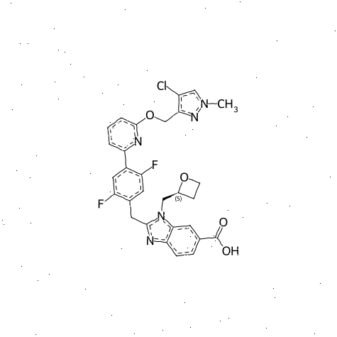 Cn1cc(Cl)c(COc2cccc(-c3cc(F)c(Cc4nc5ccc(C(=O)O)cc5n4C[C@@H]4CCO4)cc3F)n2)n1